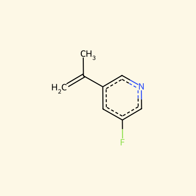 C=C(C)c1cncc(F)c1